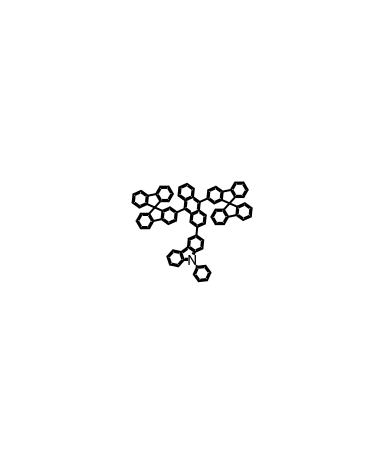 c1ccc(-n2c3ccccc3c3cc(-c4ccc5c(-c6ccc7c(c6)C6(c8ccccc8-c8ccccc86)c6ccccc6-7)c6ccccc6c(-c6ccc7c(c6)C6(c8ccccc8-c8ccccc86)c6ccccc6-7)c5c4)ccc32)cc1